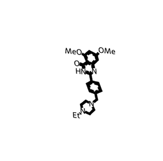 CCN1CCN(Cc2ccc(-c3nc4cc(OC)cc(OC)c4c(=O)[nH]3)cc2)CC1